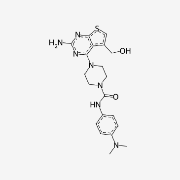 CN(C)c1ccc(NC(=O)N2CCN(c3nc(N)nc4scc(CO)c34)CC2)cc1